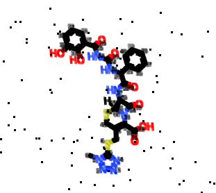 Cn1nnnc1SCC1=C(C(=O)O)N2C(=O)C(NC(=O)C(NC(=O)NC(=O)c3cccc(O)c3O)c3ccccc3)[C@@H]2SC1